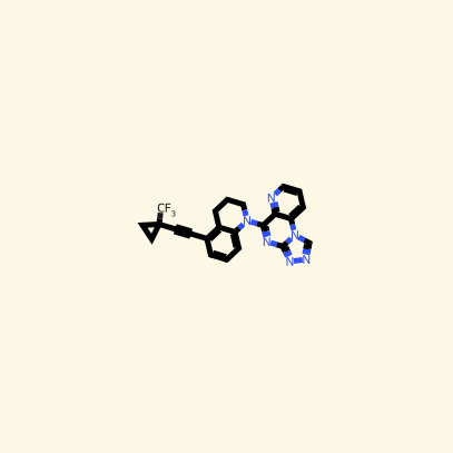 FC(F)(F)C1(C#Cc2cccc3c2CCCN3c2nc3nncn3c3cccnc23)CC1